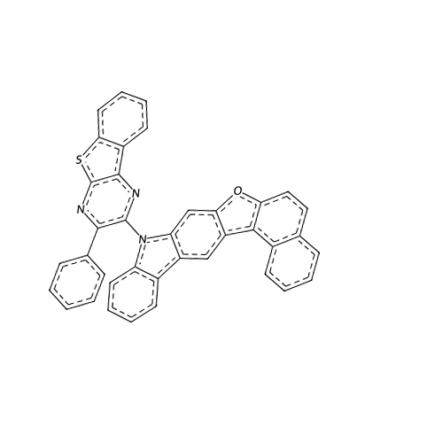 c1ccc(-c2nc3sc4ccccc4c3nc2-n2c3ccccc3c3cc4c(cc32)oc2ccc3ccccc3c24)cc1